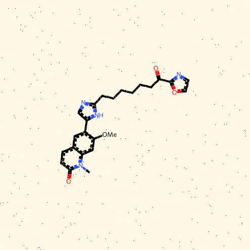 COc1cc2c(ccc(=O)n2C)cc1-c1cnc(CCCCCCC(=O)c2ncco2)[nH]1